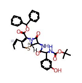 C/C=C\C1=C(C(=O)OC(c2ccccc2)c2ccccc2)N2C(=O)C(NC(=O)C(NC(=O)OC(C)(C)C)c3cccc(O)c3)[C@@H]2SC1